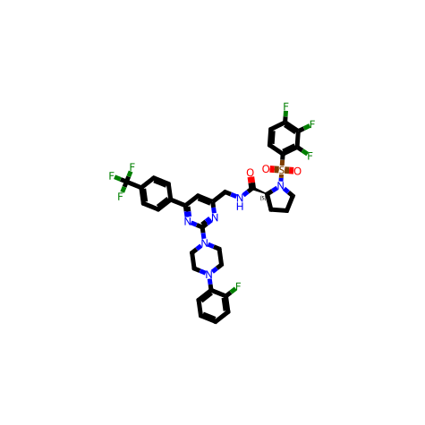 O=C(NCc1cc(-c2ccc(C(F)(F)F)cc2)nc(N2CCN(c3ccccc3F)CC2)n1)[C@@H]1CCCN1S(=O)(=O)c1ccc(F)c(F)c1F